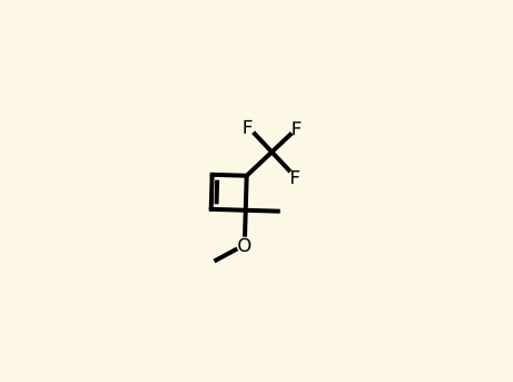 COC1(C)C=CC1C(F)(F)F